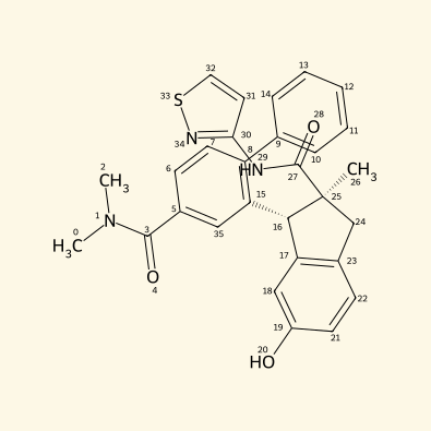 CN(C)C(=O)c1ccc(-c2ccccc2)c([C@H]2c3cc(O)ccc3C[C@]2(C)C(=O)Nc2ccsn2)c1